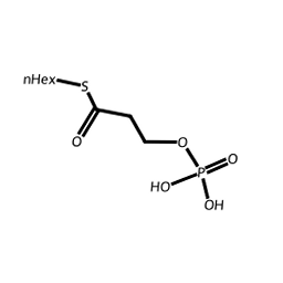 CCCCCCSC(=O)CCOP(=O)(O)O